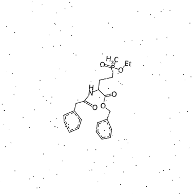 CCOP(C)(=O)CCC(NC(=O)Cc1ccccc1)C(=O)OCc1ccccc1